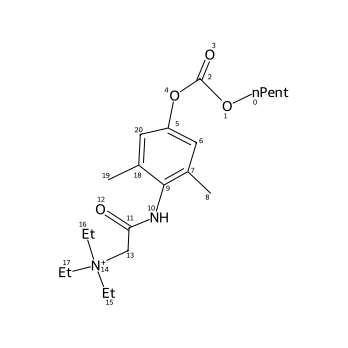 CCCCCOC(=O)Oc1cc(C)c(NC(=O)C[N+](CC)(CC)CC)c(C)c1